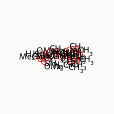 CO[SiH2]O[Si](O[SiH2]OC)(O[SiH2]OC)O[Si](C)(C)O[Si](C)(C)O[Si](C)(C)O[Si](C)(C)O[Si](C)(C)O[Si](C)(C)O[Si](C)(C)O[Si](C)(C)O[Si](C)(C)O[SiH](C)C